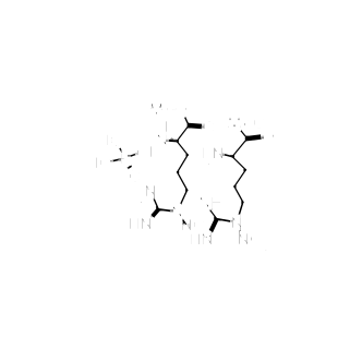 COC(=O)C(N)CCCN(C(=N)N)[N+](=O)[O-].COC(=O)C(N)CCCN(C(=N)N)[N+](=O)[O-].O=P(O)(O)O